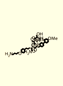 CCc1cc(OC)ccc1-c1ccc(C[C@H](NC(=O)C(CC(=O)O)NC(=O)C(N)CO)C(=O)N[C@@H](CCCc2ccc(OCCCCN)cc2)C(N)=O)cc1